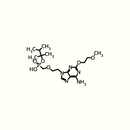 COCCOc1nc(N)c2ncn(CCOCP(=O)(O)OC(C)(C)C(C)C)c2n1